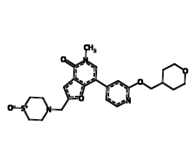 Cn1cc(-c2ccnc(OCC3CCOCC3)c2)c2oc(CN3CC[S+]([O-])CC3)cc2c1=O